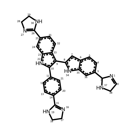 C1=NC(c2ccc3cc(-c4c(-c5ccc(C6=NCCN6)cc5)[nH]c5cc(C6=NCCN6)ccc45)[nH]c3c2)NC1